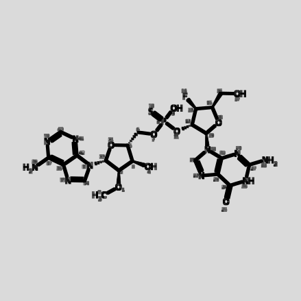 CO[C@@H]1[C@H](O)[C@@H](COP(O)(=S)O[C@@H]2[C@@H](F)[C@@H](CO)O[C@H]2n2cnc3c(=O)[nH]c(N)nc32)O[C@H]1n1cnc2c(N)ncnc21